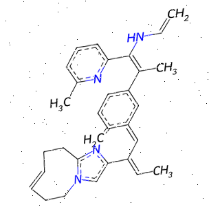 C=CN/C(=C(\C)c1ccc(=C)/c(=C\C(=C/C)c2cn3c(n2)CC/C=C/CC3)c1)c1cccc(C)n1